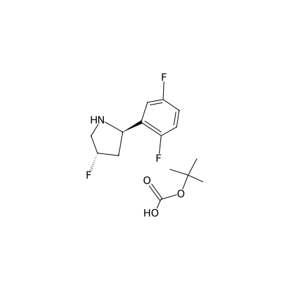 CC(C)(C)OC(=O)O.Fc1ccc(F)c([C@H]2C[C@H](F)CN2)c1